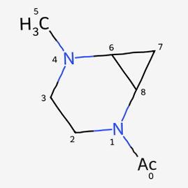 CC(=O)N1CCN(C)C2CC21